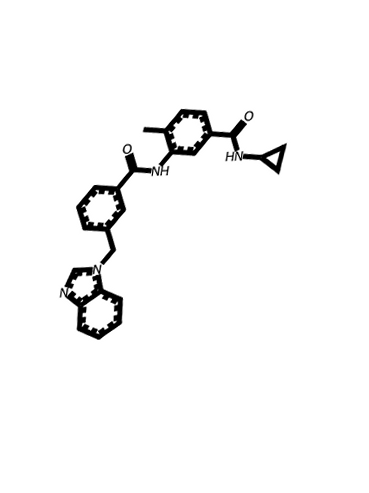 Cc1ccc(C(=O)NC2CC2)cc1NC(=O)c1cccc(Cn2cnc3ccccc32)c1